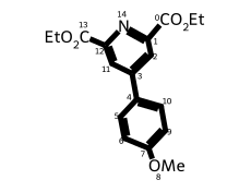 CCOC(=O)c1cc(-c2ccc(OC)cc2)cc(C(=O)OCC)n1